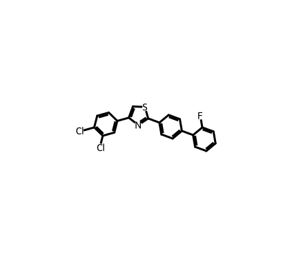 Fc1ccccc1-c1ccc(-c2nc(-c3ccc(Cl)c(Cl)c3)cs2)cc1